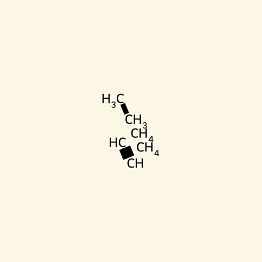 C.C.C#C.CC